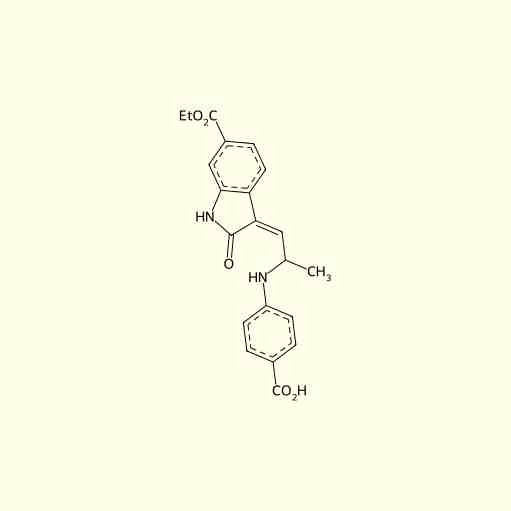 CCOC(=O)c1ccc2c(c1)NC(=O)C2=CC(C)Nc1ccc(C(=O)O)cc1